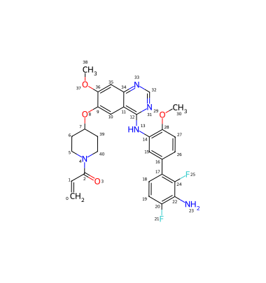 C=CC(=O)N1CCC(Oc2cc3c(Nc4cc(-c5ccc(F)c(N)c5F)ccc4OC)ncnc3cc2OC)CC1